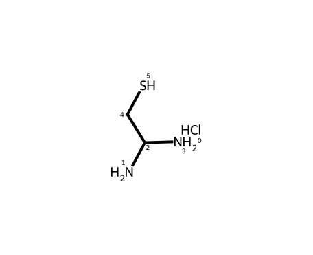 Cl.NC(N)CS